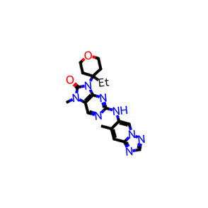 CCC1(n2c(=O)n(C)c3cnc(Nc4cn5ncnc5cc4C)nc32)CCOCC1